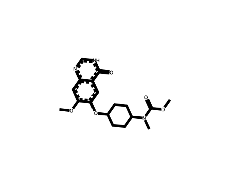 COC(=O)N(C)C1CCC(Oc2cc3c(=O)[nH]cnc3cc2OC)CC1